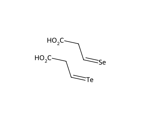 O=C(O)CC=[Se].O=C(O)CC=[Te]